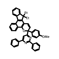 CCC1(CC)c2ccccc2-c2c1c1c(c3ccccc23)OC(c2ccc(OC)cc2)(c2cc(-c3ccccc3)nc(-c3ccccc3)n2)C=C1